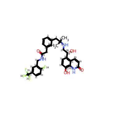 CC(C)(Cc1cccc(CC(=O)NCc2cc(C(F)(F)F)ccc2F)c1)NC[C@H](O)c1ccc(O)c2[nH]c(=O)ccc12